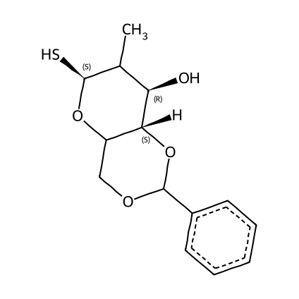 CC1[C@H](S)OC2COC(c3ccccc3)O[C@H]2[C@@H]1O